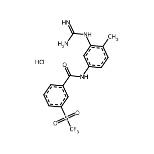 Cc1ccc(NC(=O)c2cccc(S(=O)(=O)C(F)(F)F)c2)cc1NC(=N)N.Cl